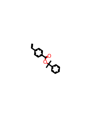 C=Cc1ccc(C(=O)OC(C)(C)c2ccccc2)cc1